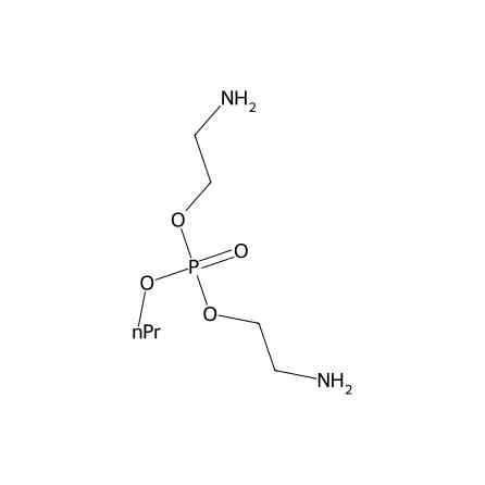 CCCOP(=O)(OCCN)OCCN